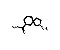 CNC(=O)C1CCCC2(CCN(C)C2)C1